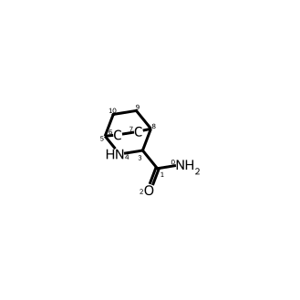 NC(=O)C1NC2CCC1CC2